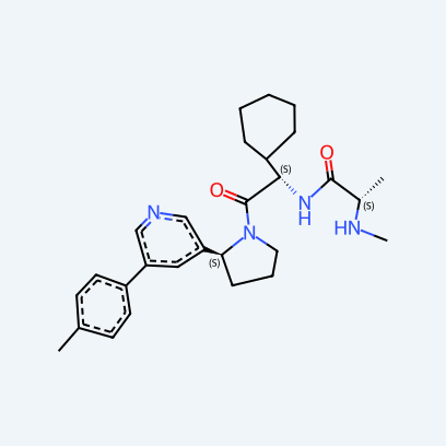 CN[C@@H](C)C(=O)N[C@H](C(=O)N1CCC[C@H]1c1cncc(-c2ccc(C)cc2)c1)C1CCCCC1